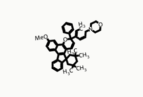 C/C=C(\C=C/CN1CCOCC1)C1(c2ccccc2)C=Cc2c3c(c4ccc(OC)cc4c2O1)-c1ccccc1C31CC(C)(C)CC(C)(C)C1